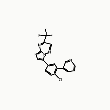 FC(F)(F)c1cnn2c(-c3ccc(Cl)c(-c4cccnc4)c3)cnc2n1